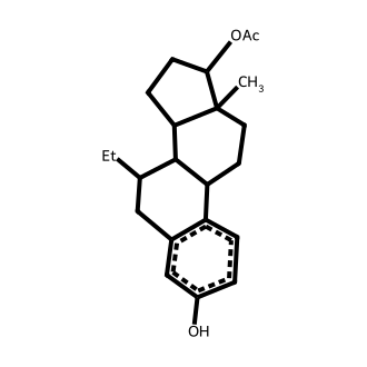 CCC1Cc2cc(O)ccc2C2CCC3(C)C(OC(C)=O)CCC3C12